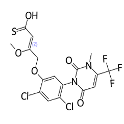 CO/C(=C\C(O)=S)COc1cc(-n2c(=O)cc(C(F)(F)F)n(C)c2=O)c(Cl)cc1Cl